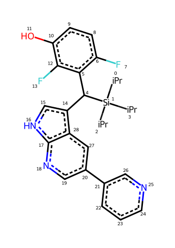 CC(C)[Si](C(C)C)(C(C)C)C(c1c(F)ccc(O)c1F)c1c[nH]c2ncc(-c3cccnc3)cc12